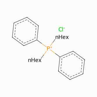 CCCCCC[P+](CCCCCC)(c1ccccc1)c1ccccc1.[Cl-]